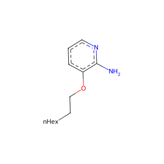 CCCCCCCCOc1cccnc1N